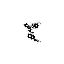 CC(C)(C)NCc1ccc2c(c1)CCC[C@H]2NC(=O)C[C@H](Cc1cccs1)NS(=O)(=O)c1cccc(C(F)(F)F)c1